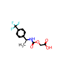 C[C@H](NC(=O)OCC(=O)O)c1ccc(C(F)(F)F)cc1